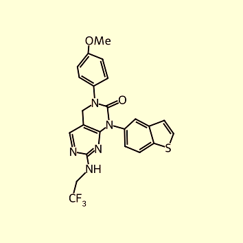 COc1ccc(N2Cc3cnc(NCC(F)(F)F)nc3N(c3ccc4sccc4c3)C2=O)cc1